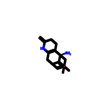 C=C1CCC2=C(CC3C=C(C)C[C@@]2(N)/C3=C/C)N1